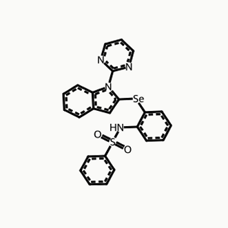 O=S(=O)(Nc1ccccc1[Se]c1cc2ccccc2n1-c1ncccn1)c1ccccc1